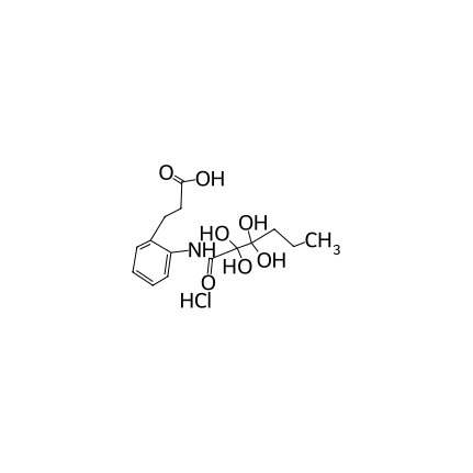 CCCC(O)(O)C(O)(O)C(=O)Nc1ccccc1CCC(=O)O.Cl